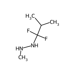 CNNC(F)(F)C(C)C